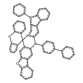 c1ccc(-c2ccc(N3c4cc5c(cc4C4(c6ccccc6Oc6ccccc64)c4cc6c(cc43)c3ccccc3n6-c3ccccc3)oc3ccccc35)cc2)cc1